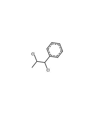 CC(Cl)C(Cl)c1ccccc1